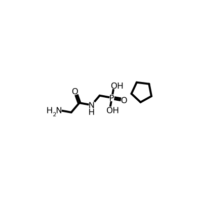 C1CCCC1.NCC(=O)NCP(=O)(O)O